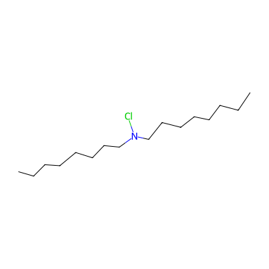 CCCCCCCCN(Cl)CCCCCCCC